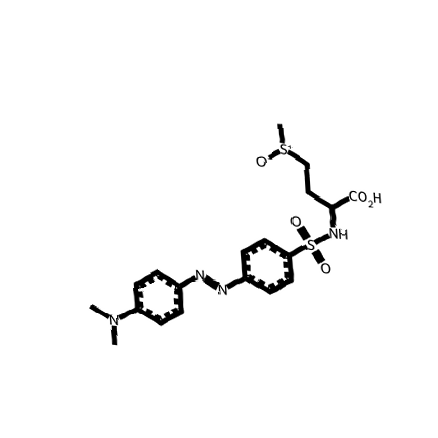 CN(C)c1ccc(N=Nc2ccc(S(=O)(=O)NC(CC[S+](C)[O-])C(=O)O)cc2)cc1